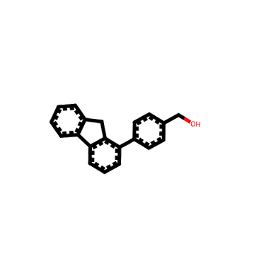 OCc1ccc(-c2cccc3c2Cc2ccccc2-3)cc1